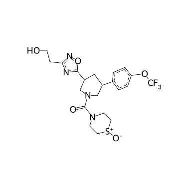 O=C(N1CC[S+]([O-])CC1)N1CC(c2ccc(OC(F)(F)F)cc2)CC(c2nc(CCO)no2)C1